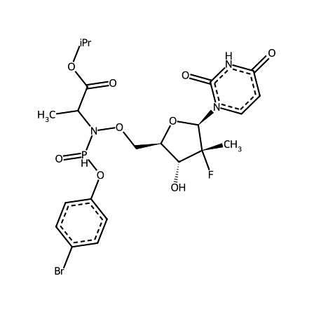 CC(C)OC(=O)C(C)N(OC[C@H]1O[C@@H](n2ccc(=O)[nH]c2=O)[C@](C)(F)[C@@H]1O)[PH](=O)Oc1ccc(Br)cc1